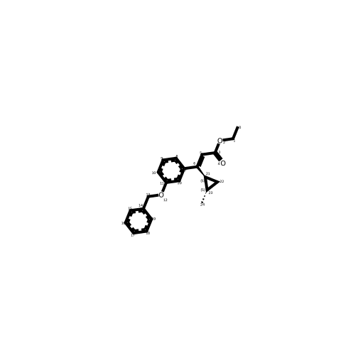 CCOC(=O)C=C(c1cccc(OCc2ccccc2)c1)[C@H]1C[C@@H]1C